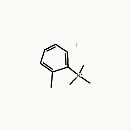 Cc1ccccc1[N+](C)(C)C.[I-]